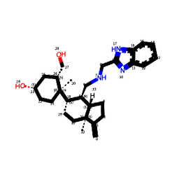 C=C1CC[C@H]2[C@H](CNCc3nc4ccccc4[nH]3)[C@@H]([C@@]3(C)CC[C@H](O)C[C@@H]3CO)CC[C@]12C